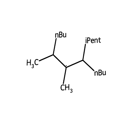 CCCCC(C)[C](C)C(CCCC)C(C)CCC